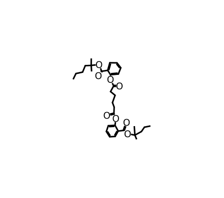 CCCCC(C)(C)OC(=O)c1ccccc1OC(=O)CCCCC(=O)Oc1ccccc1C(=O)OC(C)(C)CCC